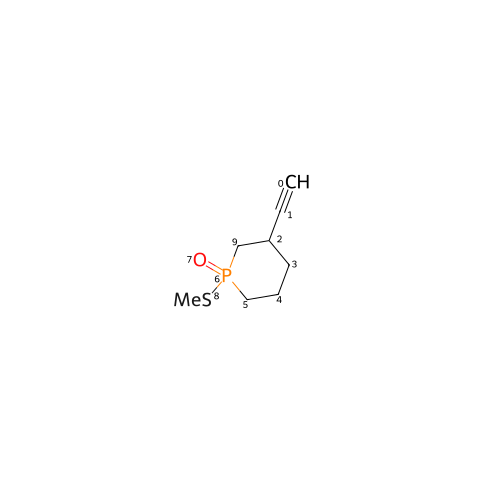 C#CC1CCCP(=O)(SC)C1